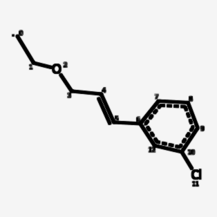 [CH2]COC/C=C/c1cccc(Cl)c1